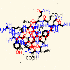 CC(C)C[C@H](NC(=O)[C@H](CC(=O)O)NC(=O)[C@@H](NC(=O)[C@H](CCCNC(=N)N)NC(=O)[C@H](Cc1ccccc1)NC(=O)[C@H](CO)NC(=O)[C@H](CCC(N)=O)NC(=O)[C@H](CCC(=O)O)NC(=O)[C@H](CC(N)=O)NC(=O)CN)C(C)C)C(=O)N[C@@H](CCCNC(=N)N)C(=O)N[C@H](C(=O)N[C@@H](CC(C)C)C(=O)N[C@@H](CC(C)C)C(=O)N[C@@H](CCCNC(=N)N)C(=O)N[C@@H](Cc1ccc(O)cc1)C(=O)N[C@@H](C)C(=O)O)[C@@H](C)O